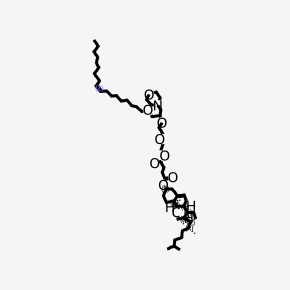 CCCCCCCC/C=C\CCCCCCCCOCC(CN1CCOCC1)OCCOCCOC(=O)CCC(=O)O[C@H]1CC[C@@]2(C)C(=CC[C@H]3[C@@H]4CC[C@H]([C@H](C)CCCC(C)C)[C@@]4(C)CC[C@@H]32)C1